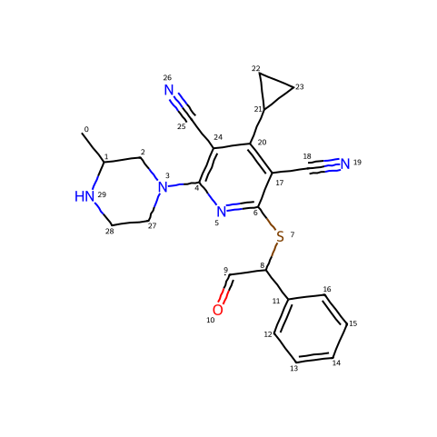 CC1CN(c2nc(SC([C]=O)c3ccccc3)c(C#N)c(C3CC3)c2C#N)CCN1